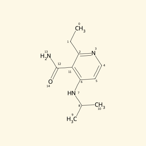 CCc1nccc(NC(C)C)c1C(N)=O